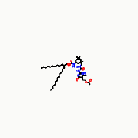 CCCCCCCCCCCCC(CCCCCCCCCC)COC(=O)NC1CC(C)(C)CC(C)(CNC(=O)Nc2nc(=O)c(CCOC(C)=O)c(C)[nH]2)C1